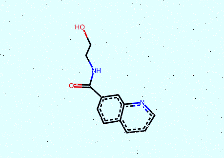 O=C(NCCO)c1ccc2[c]ccnc2c1